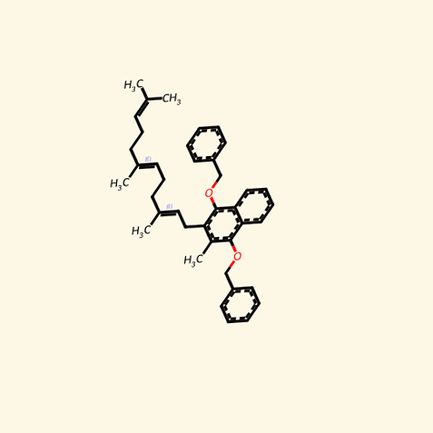 CC(C)=CCC/C(C)=C/CC/C(C)=C/Cc1c(C)c(OCc2ccccc2)c2ccccc2c1OCc1ccccc1